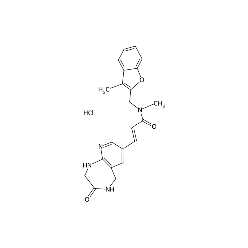 Cc1c(CN(C)C(=O)/C=C/c2cnc3c(c2)CNC(=O)CN3)oc2ccccc12.Cl